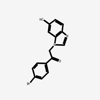 N#Cc1ccc2ncn(CC(=O)c3ccc(Br)cc3)c2c1